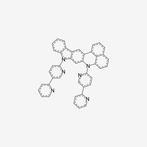 c1ccc(-c2ccc(N3c4cc5c(cc4-c4cccc6cccc3c46)c3ccccc3n5-c3ccc(-c4ccccn4)cn3)nc2)nc1